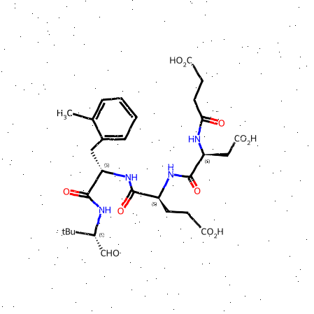 Cc1ccccc1C[C@H](NC(=O)[C@H](CCC(=O)O)NC(=O)[C@H](CC(=O)O)NC(=O)CCC(=O)O)C(=O)N[C@H]([C]=O)C(C)(C)C